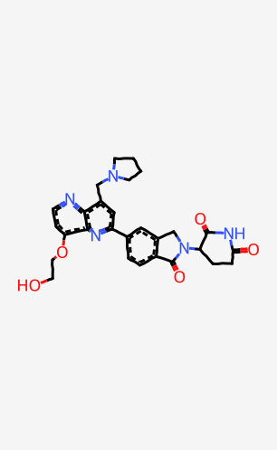 O=C1CCC(N2Cc3cc(-c4cc(CN5CCCC5)c5nccc(OCCO)c5n4)ccc3C2=O)C(=O)N1